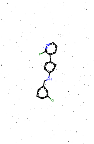 Fc1ncccc1-c1ccc(NCc2cccc(Cl)c2)cc1